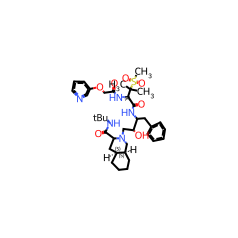 CC(C)(C)NC(=O)C1C[C@@H]2CCCC[C@@H]2CN1CC(O)C(Cc1ccccc1)NC(=O)[C@@H](NC(=O)COc1cccnc1)C(C)(C)S(C)(=O)=O